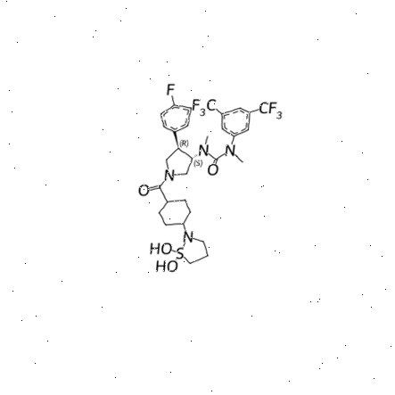 CN(C(=O)N(C)[C@@H]1CN(C(=O)C2CCC(N3CCCS3(O)O)CC2)C[C@H]1c1ccc(F)cc1)c1cc(C(F)(F)F)cc(C(F)(F)F)c1